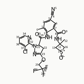 Cc1cc(C#N)cc(C(=O)NC2(C)C[S+]([O-])C2)c1NC(=O)C1CC(OCC(F)(F)F)=NN1c1ncccc1Cl